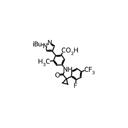 CC[C@H](C)n1cc(-c2c(C)cc(NC(=O)C3(c4ccc(C(F)(F)F)cc4F)CC3)cc2C(=O)O)cn1